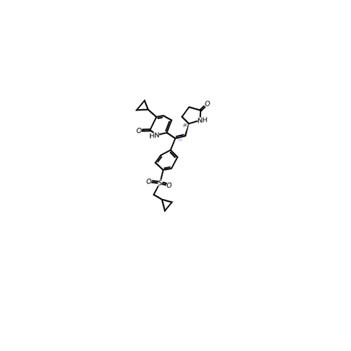 O=C1CC[C@H](/C=C(/c2ccc(S(=O)(=O)CC3CC3)cc2)c2ccc(C3CC3)c(=O)[nH]2)N1